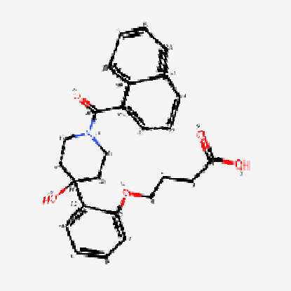 O=C(O)CCCOc1ccccc1C1(O)CCN(C(=O)c2cccc3ccccc23)CC1